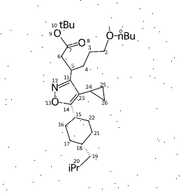 CCCCOCCCC(CC(=O)OC(C)(C)C)c1noc([C@H]2CC[C@@H](CC(C)C)CC2)c1C1CC1